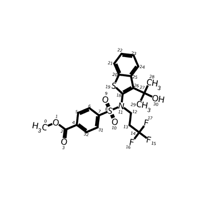 COC(=O)c1ccc(S(=O)(=O)N(CCC(F)(F)F)c2sc3ccccc3c2C(C)(C)O)cc1